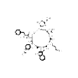 CC(=O)O.CC(O)[C@@H]1NC(=O)[C@H](CCCCN)NC(=O)[C@@H](Cc2c[nH]c3ccccc23)NC(=O)[C@H](Cc2ccccc2)NC(=O)[C@@H](NC(=O)C(N)Cc2ccccc2)CSSC[C@@H](C(=O)N[C@H](CO)[C@@H](C)O)NC1=O